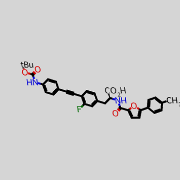 Cc1ccc(-c2ccc(C(=O)N[C@@H](Cc3ccc(C#Cc4ccc(NC(=O)OC(C)(C)C)cc4)c(F)c3)C(=O)O)o2)cc1